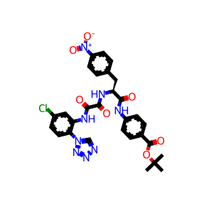 CC(C)(C)OC(=O)c1ccc(NC(=O)[C@H](Cc2ccc([N+](=O)[O-])cc2)NC(=O)C(=O)Nc2cc(Cl)ccc2-n2cnnn2)cc1